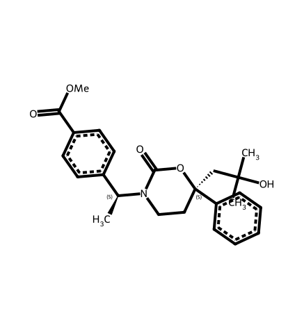 COC(=O)c1ccc([C@H](C)N2CC[C@](CC(C)(C)O)(c3ccccc3)OC2=O)cc1